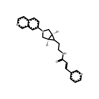 O=C(/C=C/c1cccnc1)NCCC1[C@H]2CN(c3ccc4ccncc4c3)C[C@@H]12